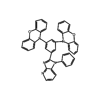 c1ccc(-n2c(-c3cc(N4c5ccccc5Oc5ccccc54)cc(N4c5ccccc5Oc5ccccc54)c3)nc3ncccc32)cc1